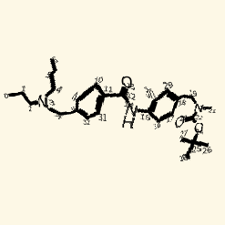 CCCN(CCC)Cc1ccc(C(=O)Nc2ccc(CN(C)C(=O)OC(C)(C)C)cc2)cc1